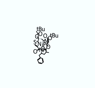 C=CCOC(=O)C(C)CC(Cc1ccccc1)NC(=O)c1csc([C@@H](C[C@H](C(C)C)N(C)C(=O)OC(C)(C)C)OC(=O)CC(C)(C)C)n1